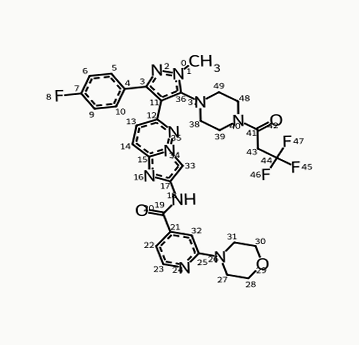 Cn1nc(-c2ccc(F)cc2)c(-c2ccc3nc(NC(=O)c4ccnc(N5CCOCC5)c4)cn3n2)c1N1CCN(C(=O)CC(F)(F)F)CC1